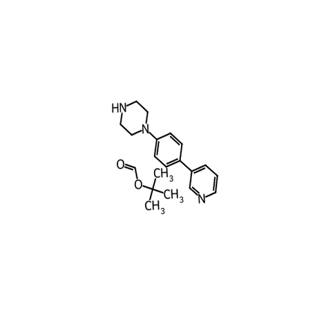 CC(C)(C)OC=O.c1cncc(-c2ccc(N3CCNCC3)cc2)c1